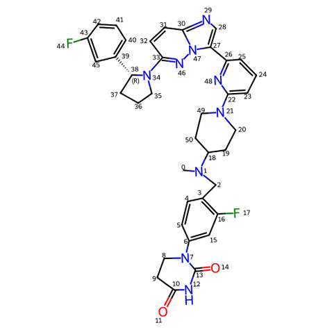 CN(Cc1ccc(N2CCC(=O)NC2=O)cc1F)C1CCN(c2cccc(-c3cnc4ccc(N5CCC[C@@H]5c5cccc(F)c5)nn34)n2)CC1